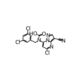 N#Cc1cnn2c(N(Cc3cc(Cl)cc(Cl)c3)C(=O)O)cc(Cl)nc12